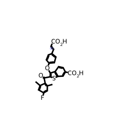 Cc1cc(F)cc(C)c1C(=O)c1sc2cc(C(=O)O)ccc2c1Oc1ccc(/C=C/C(=O)O)cc1